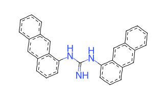 N=C(Nc1cccc2cc3ccccc3cc12)Nc1cccc2cc3ccccc3cc12